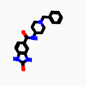 O=C(NC1CCN(Cc2ccccc2)CC1)c1ccc2[nH]c(=O)[nH]c2c1